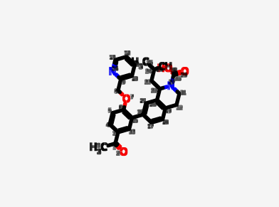 CC(=O)c1ccc(OCc2ccccn2)c(-c2ccc3c(c2)C(CC(C)C)N(C(=O)O)CC3)c1